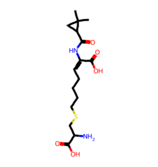 CC1(C)CC1C(=O)NC(=CCCCCSCC(N)C(=O)O)C(=O)O